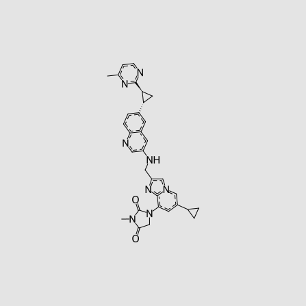 Cc1ccnc([C@H]2C[C@@H]2c2ccc3ncc(NCc4cn5cc(C6CC6)cc(N6CC(=O)N(C)C6=O)c5n4)cc3c2)n1